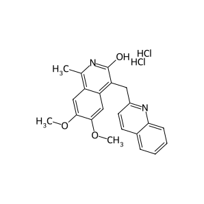 COc1cc2c(C)nc(O)c(Cc3ccc4ccccc4n3)c2cc1OC.Cl.Cl